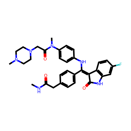 CNC(=O)Cc1ccc(C(Nc2ccc(N(C)C(=O)CN3CCN(C)CC3)cc2)=C2C(=O)Nc3cc(F)ccc32)cc1